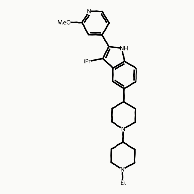 CCN1CCC(N2CCC(c3ccc4[nH]c(-c5ccnc(OC)c5)c(C(C)C)c4c3)CC2)CC1